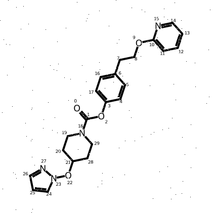 O=C(Oc1ccc(CCOc2ccccn2)cc1)N1CCC(On2cccn2)CC1